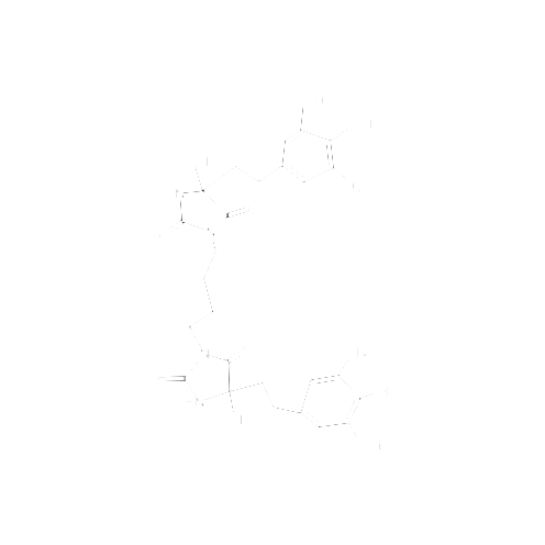 CC1(CCc2cc(C(C)(C)C)c(O)c(C(C)(C)C)c2)NC(=O)N(CCCCN2C(=O)NC(C)(CCc3cc(C(C)(C)C)c(O)c(C(C)(C)C)c3)C2=O)C1=O